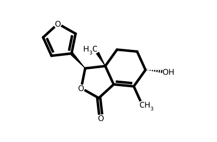 CC1=C2C(=O)O[C@@H](c3ccoc3)[C@]2(C)CC[C@@H]1O